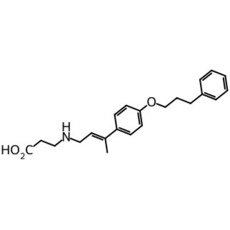 C/C(=C\CNCCC(=O)O)c1ccc(OCCCc2ccccc2)cc1